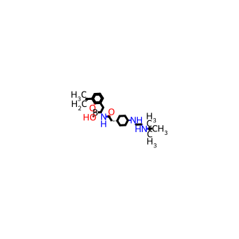 C=C(C)c1cccc2c1OB(O)[C@@H](NC(=O)C[C@H]1CC[C@H](NCCNC(C)(C)C)CC1)C2